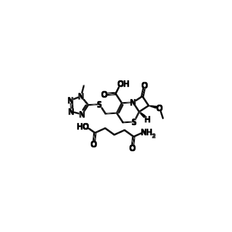 CO[C@@H]1C(=O)N2C(C(=O)O)=C(CSc3nnnn3C)CS[C@@H]12.NC(=O)CCCC(=O)O